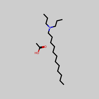 CC(=O)O.CCCCCCCCCCCCN(CCC)CCC